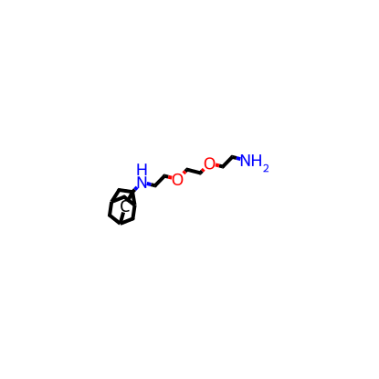 NCCOCCOCCNC12CC3CC(CC1C3)C2